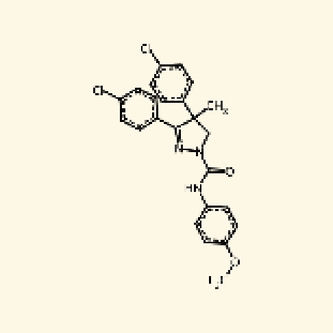 CC1(c2ccc(Cl)cc2)CN(C(=O)Nc2ccc(OC(F)(F)F)cc2)N=C1c1ccc(Cl)cc1